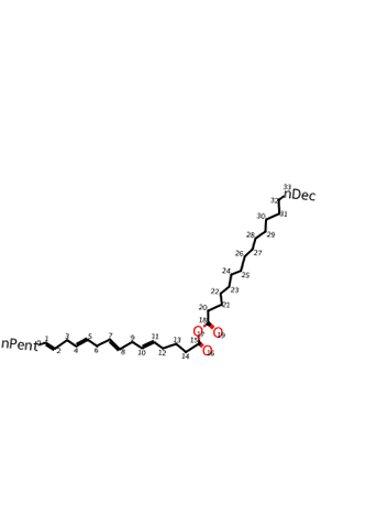 CCCCCC=CCC=CCC=CCC=CCCCC(=O)OC(=O)CCCCCCCCCCCCCCCCCCCCCCC